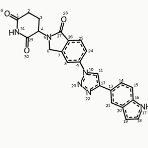 O=C1CCC(N2Cc3cc(-n4cc(-c5ccc6[nH]ccc6c5)nn4)ccc3C2=O)C(=O)N1